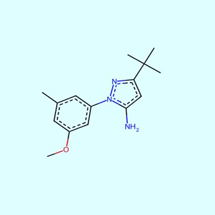 COc1cc(C)cc(-n2nc(C(C)(C)C)cc2N)c1